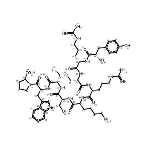 N=C(N)NCCC[C@H](NC(=O)[C@H](CO)NC(=O)[C@H](CCCNC(=N)N)NC(=O)[C@@H](N)Cc1ccc(O)cc1)C(=O)N[C@@H](CCCCN)C(=O)N[C@@H](CO)C(=O)N[C@@H](CO)C(=O)N[C@@H](Cc1c[nH]c2ccccc12)C(=O)N1CCC[C@H]1C(=O)O